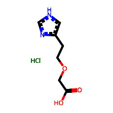 Cl.O=C(O)COCCc1c[nH]cn1